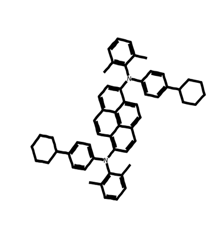 Cc1cccc(C)c1N(c1ccc(C2CCCCC2)cc1)c1ccc2ccc3c(N(c4ccc(C5CCCCC5)cc4)c4c(C)cccc4C)ccc4ccc1c2c43